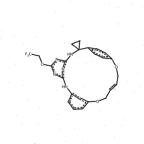 FC(F)(F)COc1nc2nc(n1)NC1(CC1)c1ccc(cc1)OC/C=C/COc1cccc(c1)N2